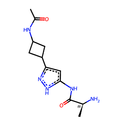 CC(=O)NC1CC(c2cc(NC(=O)[C@H](C)N)[nH]n2)C1